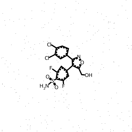 NS(=O)(=O)c1c(F)cc(-c2c(-c3ccc(Cl)c(Cl)c3)noc2CO)cc1F